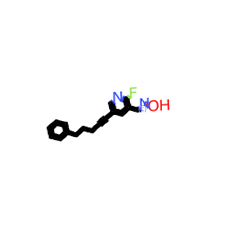 O/N=C/c1cc(C#CCCCc2ccccc2)cnc1F